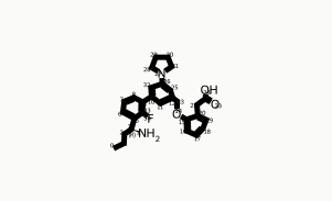 CCC[C@@H](N)c1cccc(-c2cc(COc3ccccc3CC(=O)O)cc(N3CCCC3)c2)c1F